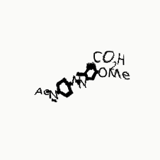 COc1cc2nn(C3CCC(N(C)C(C)=O)CC3)cc2cc1C(=O)O